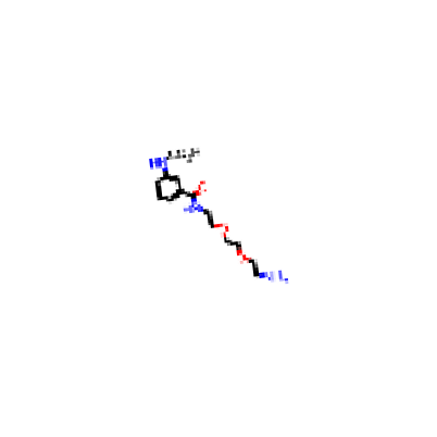 NCCOCCOCCNC(=O)c1cccc(NC(=O)O)c1